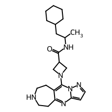 CC(CC1CCCCC1)NC(=O)C1CN(c2c3c(nc4ccnn24)CCNCC3)C1